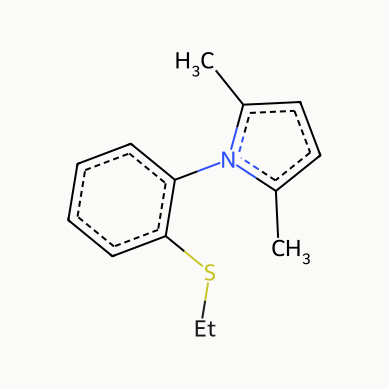 CCSc1ccccc1-n1c(C)ccc1C